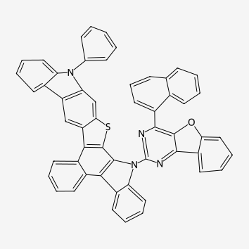 c1ccc(-n2c3ccccc3c3cc4c(cc32)sc2c4c3ccccc3c3c4ccccc4n(-c4nc(-c5cccc6ccccc56)c5oc6ccccc6c5n4)c23)cc1